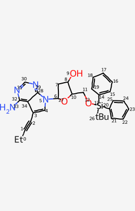 CCC#Cc1cn(C2CC(O)C(CO[Si](c3ccccc3)(c3ccccc3)C(C)(C)C)O2)c2ncnc(N)c12